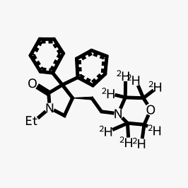 [2H]C1([2H])OC([2H])([2H])C([2H])([2H])N(CC[C@H]2CN(CC)C(=O)C2(c2ccccc2)c2ccccc2)C1([2H])[2H]